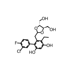 CCc1c(O)cc(O)c(-c2ccc(F)c(Cl)c2)c1CC1O[C@H](CO)[C@@H](CO)O1